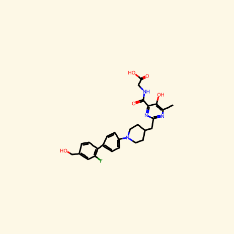 Cc1nc(CC2CCN(c3ccc(-c4ccc(CO)cc4F)cc3)CC2)nc(C(=O)NCC(=O)O)c1O